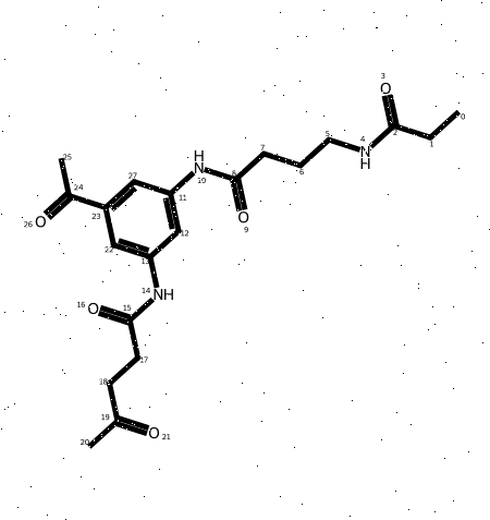 CCC(=O)NCCCC(=O)Nc1cc(NC(=O)CCC(C)=O)cc(C(C)=O)c1